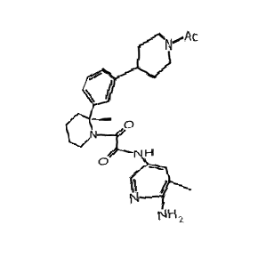 CC(=O)N1CCC(c2cccc([C@@]3(C)CCCCN3C(=O)C(=O)Nc3cnc(N)c(C)c3)c2)CC1